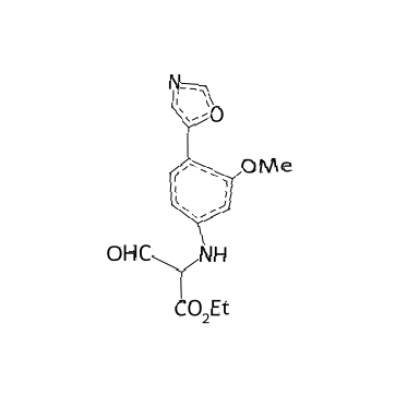 CCOC(=O)C(C=O)Nc1ccc(-c2cnco2)c(OC)c1